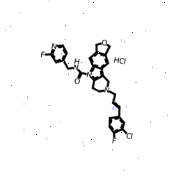 Cl.O=C(NCc1ccnc(F)c1)n1c2c(c3cc4c(cc31)COC4)CN(C/C=C/c1ccc(F)c(Cl)c1)CC2